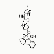 Cc1cc(NC(=O)C[N+]2(C)CCC(OC(=O)C3(O)c4ccccc4-c4ccccc43)C2)no1